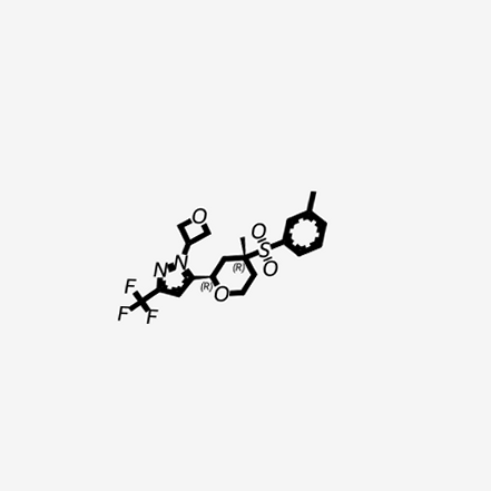 Cc1cccc(S(=O)(=O)[C@]2(C)CCO[C@@H](c3cc(C(F)(F)F)nn3C3COC3)C2)c1